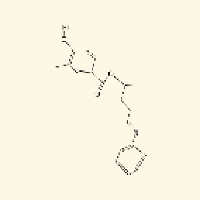 CCOc1ccc(C(=O)OC(C)CCC=Nc2ccccc2)cc1C